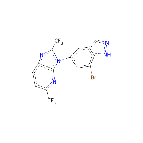 FC(F)(F)c1ccc2nc(C(F)(F)F)n(-c3cc(Br)c4[nH]ncc4c3)c2n1